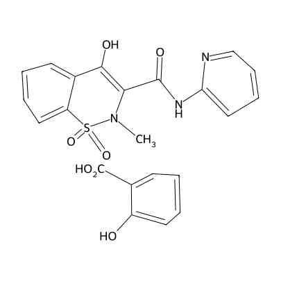 CN1C(C(=O)Nc2ccccn2)=C(O)c2ccccc2S1(=O)=O.O=C(O)c1ccccc1O